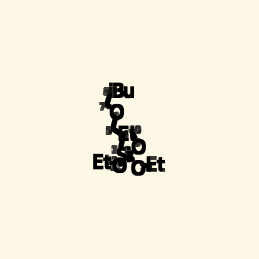 CCO[Si](CCCOCC(C)CC)(OCC)OCC